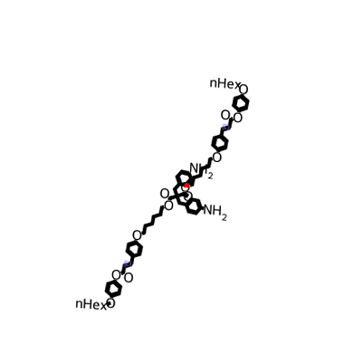 CCCCCCOc1ccc(OC(=O)/C=C/c2ccc(OCCCCCCOC(=O)C(Cc3ccc(N)cc3)(Cc3ccc(N)cc3)C(=O)OCCCCCCOc3ccc(/C=C/C(=O)Oc4ccc(OCCCCCC)cc4)cc3)cc2)cc1